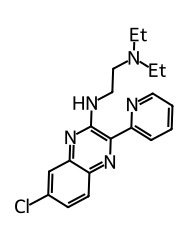 CCN(CC)CCNc1nc2cc(Cl)ccc2nc1-c1ccccn1